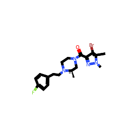 Cc1c(Br)c(C(=O)N2CCN(CCc3ccc(F)cc3)[C@H](C)C2)nn1C